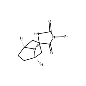 CC(C)N1C(=O)NC2(C[C@H]3CC[C@@H](C2)N3C(C)C)C1=O